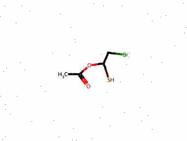 CC(=O)OC(S)CBr